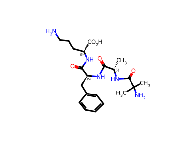 C[C@H](NC(=O)C(C)(C)N)C(=O)N[C@@H](Cc1ccccc1)C(=O)N[C@@H](CCCN)C(=O)O